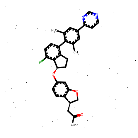 COC(=O)C[C@@H]1COc2cc(O[C@@H]3CCc4c(-c5c(C)cc(-c6ccncn6)cc5C)ccc(F)c43)ccc21